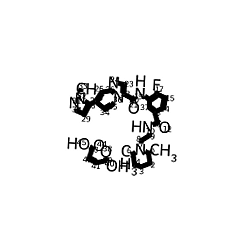 C[C@@H]1CCC[C@H](C)N1CCNC(=O)c1ccc(F)c(NC(=O)c2cnc3cc(-c4ccnn4C)ccn23)c1.O=C(O)/C=C\C(=O)O